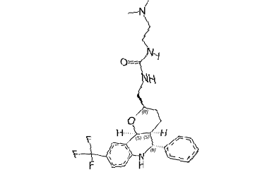 CN(C)CCN(I)C(=O)NC[C@H]1CC[C@@H]2[C@H](O1)c1cc(C(F)(F)F)ccc1N[C@H]2c1ccccc1